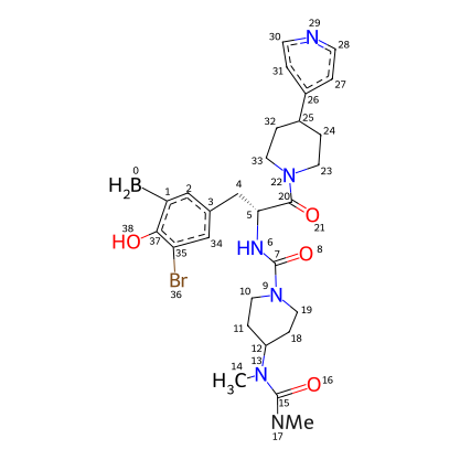 Bc1cc(C[C@@H](NC(=O)N2CCC(N(C)C(=O)NC)CC2)C(=O)N2CCC(c3ccncc3)CC2)cc(Br)c1O